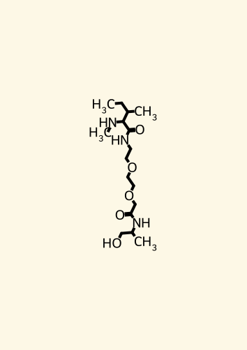 CCC(C)C(NC)C(=O)NCCOCCOCC(=O)NC(C)CO